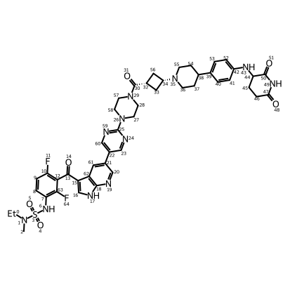 CCN(C)S(=O)(=O)Nc1ccc(F)c(C(=O)c2c[nH]c3ncc(-c4cnc(N5CCN(C(=O)[C@H]6C[C@@H](N7CCC(c8ccc(NC9CCC(=O)NC9=O)cc8)CC7)C6)CC5)nc4)cc23)c1F